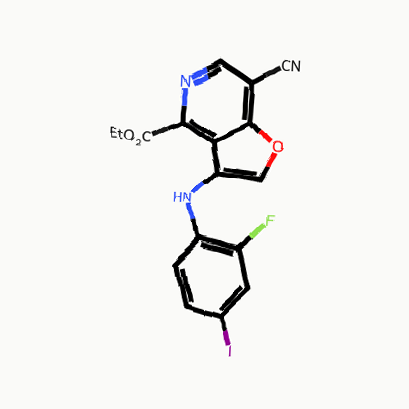 CCOC(=O)c1ncc(C#N)c2occ(Nc3ccc(I)cc3F)c12